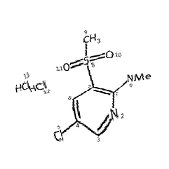 CNc1ncc(Cl)cc1S(C)(=O)=O.Cl.Cl